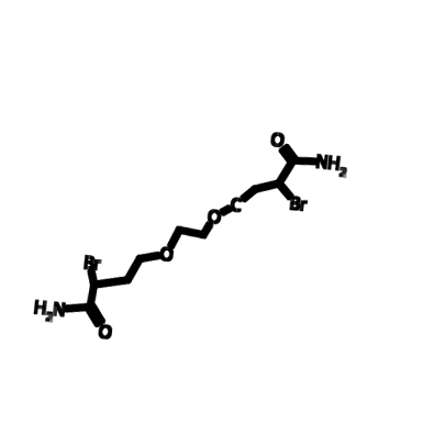 NC(=O)C(Br)CCOCCOCCC(Br)C(N)=O